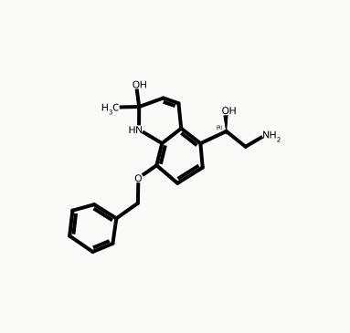 CC1(O)C=Cc2c([C@@H](O)CN)ccc(OCc3ccccc3)c2N1